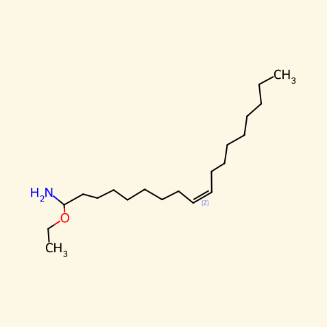 CCCCCCCC/C=C\CCCCCCCC(N)OCC